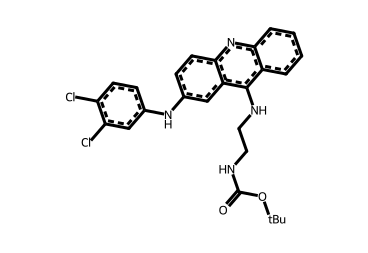 CC(C)(C)OC(=O)NCCNc1c2ccccc2nc2ccc(Nc3ccc(Cl)c(Cl)c3)cc12